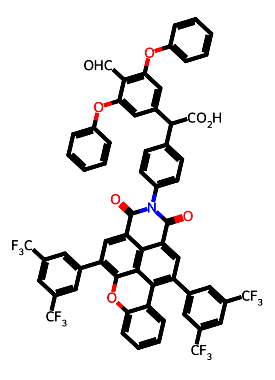 O=Cc1c(Oc2ccccc2)cc(C(C(=O)O)c2ccc(-n3c(=O)c4cc(-c5cc(C(F)(F)F)cc(C(F)(F)F)c5)c5oc6ccccc6c6c(-c7cc(C(F)(F)F)cc(C(F)(F)F)c7)cc(c3=O)c4c56)cc2)cc1Oc1ccccc1